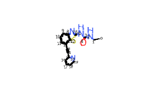 CCNC(=O)Nc1nc2cccc(C#Cc3ccccn3)c2s1